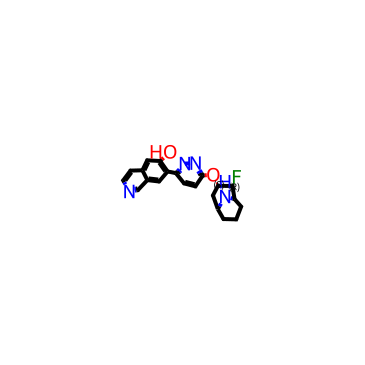 Oc1cc2ccncc2cc1-c1ccc(O[C@H]2CC3CCCC(N3)[C@H]2F)nn1